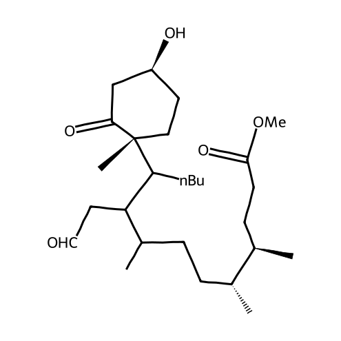 CCCCC(C(CC=O)C(C)CC[C@@H](C)[C@H](C)CCC(=O)OC)[C@@]1(C)CC[C@H](O)CC1=O